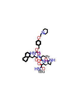 CC(C)CC(NC(=O)C(Cc1cccc2ccccc12)NC(=O)OCc1ccc(OCCN2CCCCC2)cc1)C(=O)NC(C[C@@H]1CCNC1=O)C(=O)C(=O)NC(C)(C)C